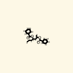 CCCC(CC(C)OC(=O)c1ccccc1)OC(=O)c1ccccc1